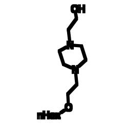 CCCCCCOCCN1CCN(CCO)CC1